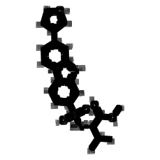 COC(=O)[C@@H](NS(=O)(=O)c1ccc2c(c1)sc1cc(-c3ccoc3)ccc12)C(C)C